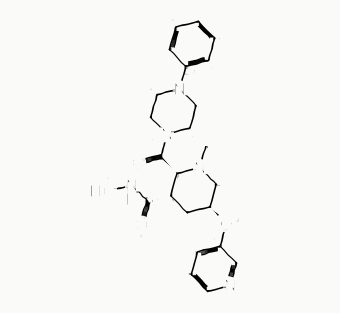 CN1C[C@@H](Oc2cccnc2)C[C@H](C(=O)NO)[C@H]1C(=O)N1CCN(c2ccccc2)CC1